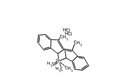 CC1=C[CH]([Zr]([CH3])([CH3])(=[SiH2])[CH]2C=C(C)c3ccccc32)c2ccccc21.Cl.Cl